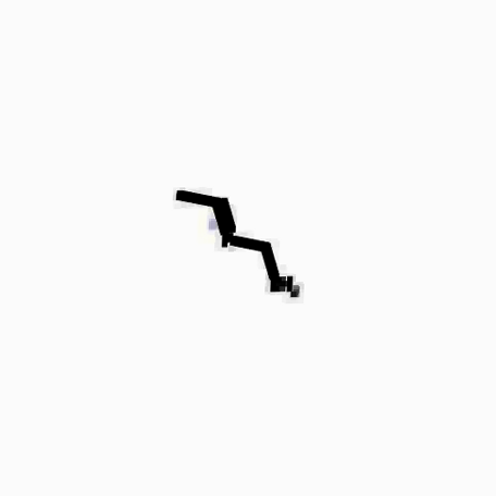 BC/P=C/C